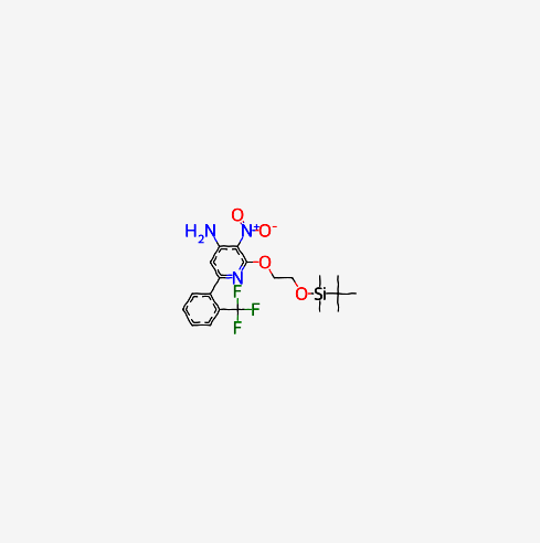 CC(C)(C)[Si](C)(C)OCCOc1nc(-c2ccccc2C(F)(F)F)cc(N)c1[N+](=O)[O-]